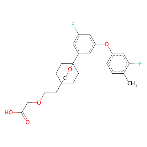 Cc1ccc(Oc2cc(F)cc(C34CCC(CCOCC(=O)O)(CC3)CO4)c2)cc1F